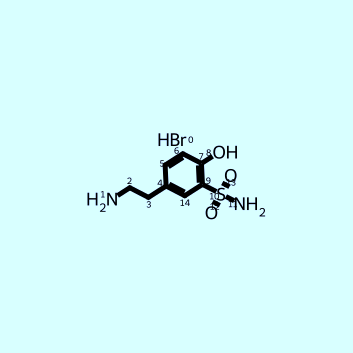 Br.NCCc1ccc(O)c(S(N)(=O)=O)c1